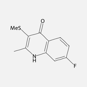 CSc1c(C)[nH]c2cc(F)ccc2c1=O